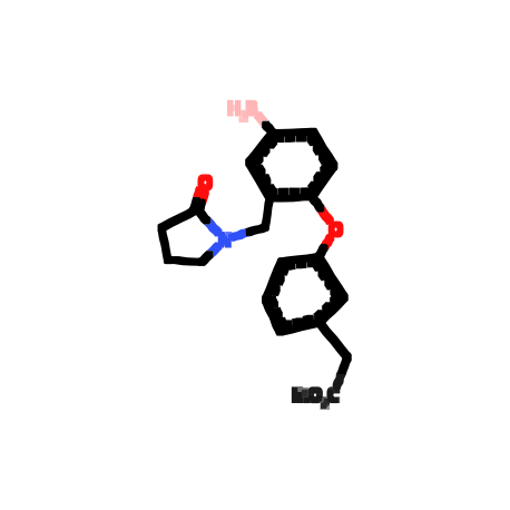 Bc1ccc(Oc2cccc(CC(=O)OCC)c2)c(CN2CCCC2=O)c1